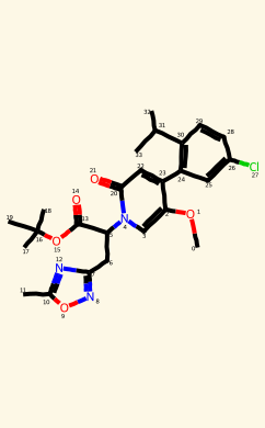 COc1cn(C(Cc2noc(C)n2)C(=O)OC(C)(C)C)c(=O)cc1-c1cc(Cl)ccc1C(C)C